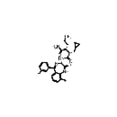 NC(=O)[C@H](CCC(F)(F)F)[C@H](CC1CC1)C(=O)N[C@H]1N=C(c2cccc(F)c2)c2cccc(F)c2NC1=O